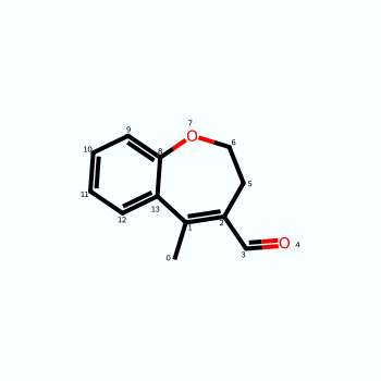 CC1=C(C=O)CCOc2ccccc21